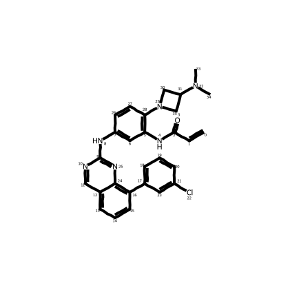 C=CC(=O)Nc1cc(Nc2ncc3cccc(-c4cccc(Cl)c4)c3n2)ccc1N1CC(N(C)C)C1